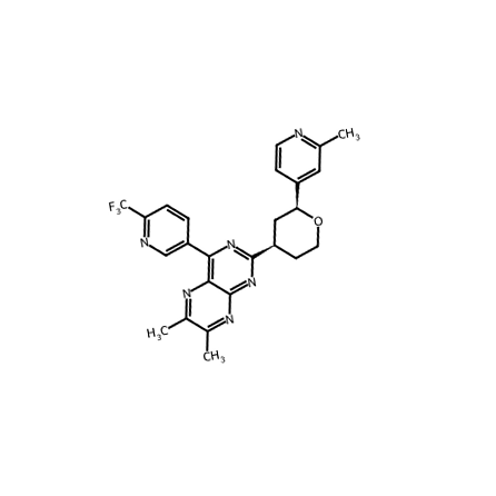 Cc1cc([C@@H]2C[C@H](c3nc(-c4ccc(C(F)(F)F)nc4)c4nc(C)c(C)nc4n3)CCO2)ccn1